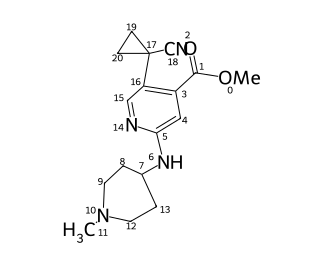 COC(=O)c1cc(NC2CCN(C)CC2)ncc1C1(C#N)CC1